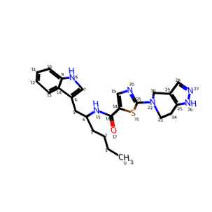 CCCCC(Cc1c[nH]c2ccccc12)NC(=O)c1cnc(N2CCc3[nH]ncc3C2)s1